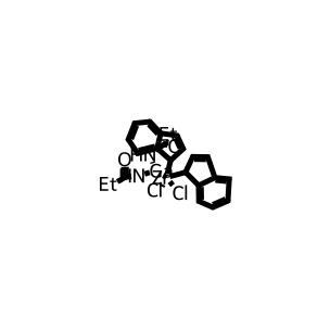 CCC(=O)[NH][Ga]([NH]C(=O)CC)[Zr]([Cl])([Cl])([CH]1C=Cc2ccccc21)[CH]1C=Cc2ccccc21